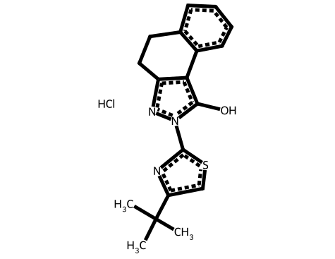 CC(C)(C)c1csc(-n2nc3c(c2O)-c2ccccc2CC3)n1.Cl